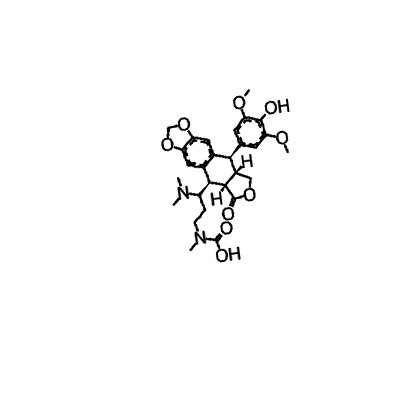 COc1cc([C@@H]2c3cc4c(cc3[C@H](C(CCN(C)C(=O)O)N(C)C)[C@H]3C(=O)OC[C@@H]23)OCO4)cc(OC)c1O